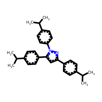 CC(C)c1ccc(-c2cc(-c3ccc(C(C)C)cc3)n(-c3ccc(C(C)C)cc3)n2)cc1